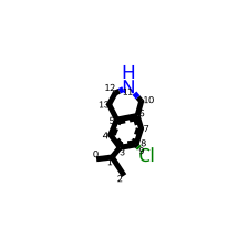 CC(C)c1cc2c(cc1Cl)CNCC2